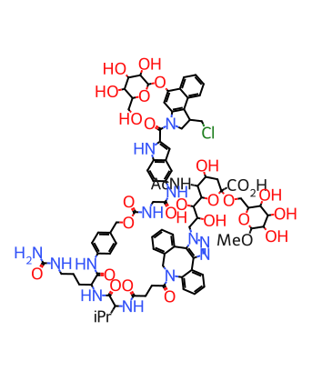 COC1OC(COC2(C(=O)O)CC(O)C(NC(C)=O)C(C(O)C(O)Cn3nnc4c3-c3ccccc3CN(C(=O)CCC(=O)NC(C(=O)NC(CCCNC(N)=O)C(=O)Nc3ccc(COC(=O)NCC(=O)Nc5ccc6[nH]c(C(=O)N7CC(CCl)c8c7cc(OC7OC(CO)C(O)C(O)C7O)c7ccccc87)cc6c5)cc3)C(C)C)c3ccccc3-4)O2)C(O)C(O)C1O